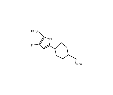 CCCCCCCCCCC1CCC(c2cc(F)c(C(=O)O)[nH]2)CC1